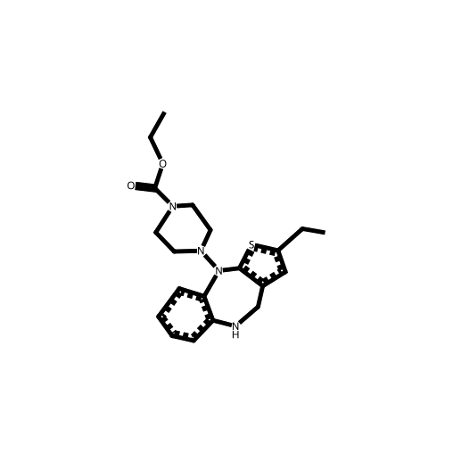 CCOC(=O)N1CCN(N2c3ccccc3NCc3cc(CC)sc32)CC1